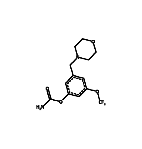 NC(=O)Oc1cc(CN2CCOCC2)cc(OC(F)(F)F)c1